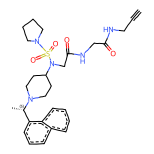 C#CCNC(=O)CNC(=O)CN(C1CCN([C@@H](C)c2cccc3ccccc23)CC1)S(=O)(=O)N1CCCC1